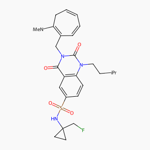 CNC1=C(Cn2c(=O)c3cc(S(=O)(=O)NC4(CF)CC4)ccc3n(CCC(C)C)c2=O)C=CC=CC1